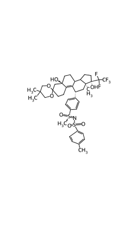 Cc1ccc(S(=O)(=O)N=[S@](C)(=O)c2ccc([C@H]3C[C@@]4(C)C(CC[C@@]4(O)C(F)(F)C(F)(F)F)C4CC[C@@]5(O)CC6(CCC5=C43)OCC(C)(C)CO6)cc2)cc1